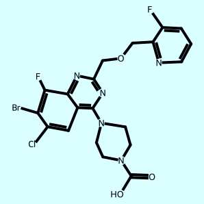 O=C(O)N1CCN(c2nc(COCc3ncccc3F)nc3c(F)c(Br)c(Cl)cc23)CC1